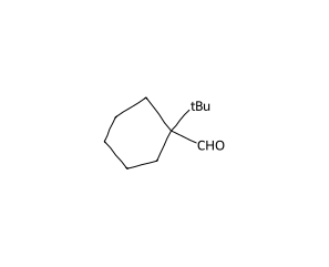 CC(C)(C)C1(C=O)CCCCC1